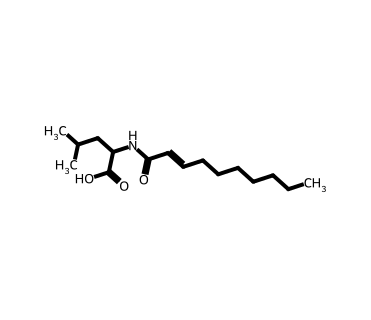 CCCCCCC/C=C/C(=O)NC(CC(C)C)C(=O)O